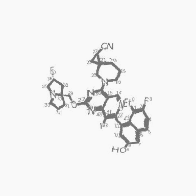 CCc1c(F)ccc2cc(O)cc(-c3ncc4c(N5CCCC6(CC6C#N)C5)nc(OC[C@@]56CCCN5C[C@H](F)C6)nc4c3F)c12